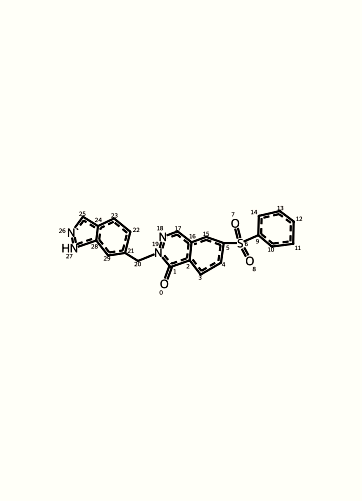 O=c1c2ccc(S(=O)(=O)c3ccccc3)cc2cnn1Cc1ccc2cn[nH]c2c1